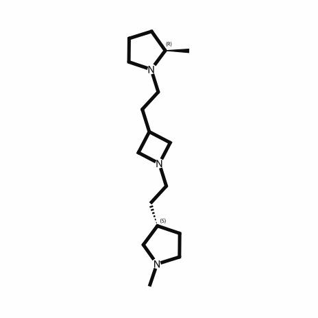 C[C@@H]1CCCN1CCC1CN(CC[C@@H]2CCN(C)C2)C1